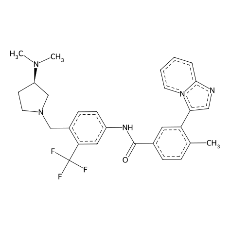 Cc1ccc(C(=O)Nc2ccc(CN3CC[C@@H](N(C)C)C3)c(C(F)(F)F)c2)cc1-c1cnc2ccccn12